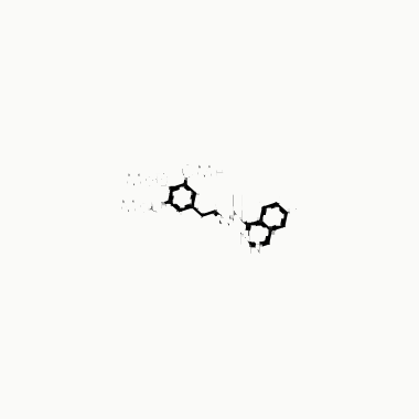 COc1cc(CC=NNc2nncc3ccccc23)cc(OC)c1OC